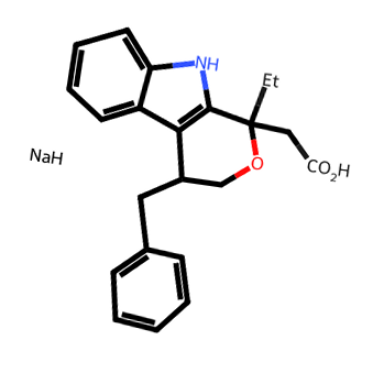 CCC1(CC(=O)O)OCC(Cc2ccccc2)c2c1[nH]c1ccccc21.[NaH]